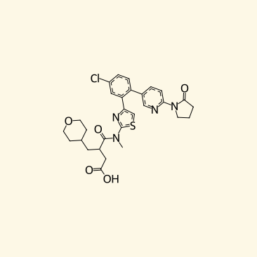 CN(C(=O)C(CC(=O)O)CC1CCOCC1)c1nc(-c2cc(Cl)ccc2-c2ccc(N3CCCC3=O)nc2)cs1